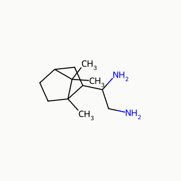 CC1(C)C2CCC1(C)C(C(N)CN)C2